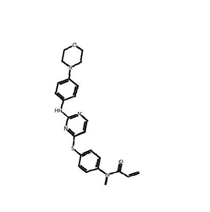 C=CC(=O)N(C)c1ccc(Sc2ccnc(Nc3ccc(N4CCOCC4)cc3)n2)cc1